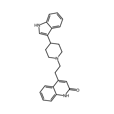 O=c1cc(CCN2CCC(c3c[nH]c4ccccc34)CC2)c2ccccc2[nH]1